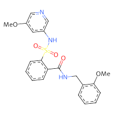 COc1cncc(NS(=O)(=O)c2ccccc2C(=O)NCc2ccccc2OC)c1